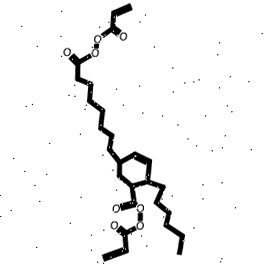 C=CC(=O)OOC(=O)CCCCCCCC1C=CC(CCCCCC)C(C(=O)OOC(=O)C=C)C1